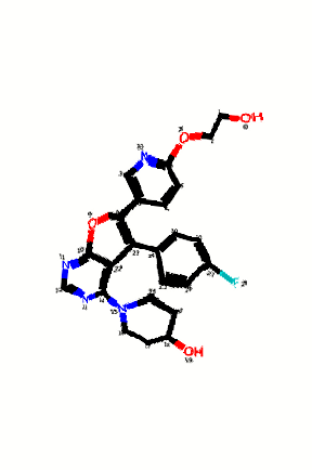 OCCOc1ccc(-c2oc3ncnc(N4CCC(O)CC4)c3c2-c2ccc(F)cc2)cn1